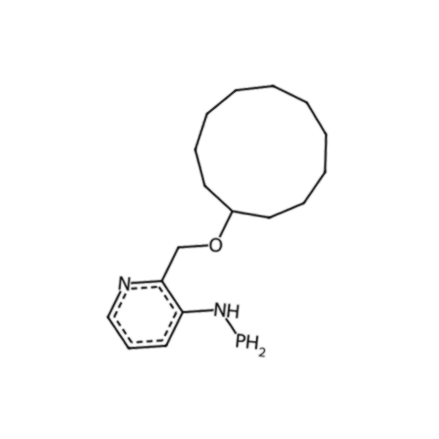 PNc1cccnc1COC1CCCCCCCCCC1